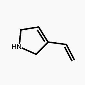 C=CC1=CCNC1